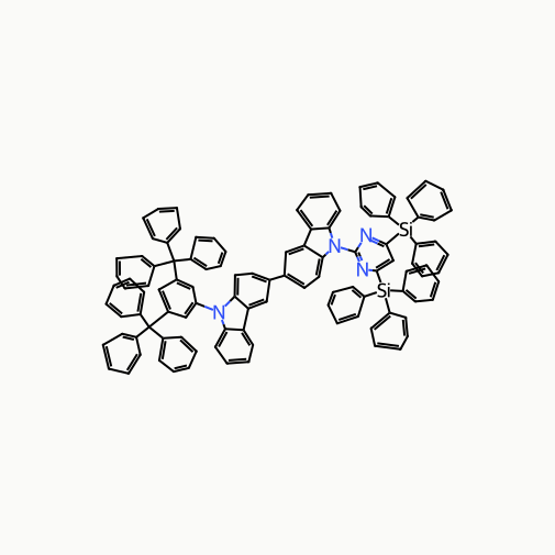 c1ccc(C(c2ccccc2)(c2ccccc2)c2cc(-n3c4ccccc4c4cc(-c5ccc6c(c5)c5ccccc5n6-c5nc([Si](c6ccccc6)(c6ccccc6)c6ccccc6)cc([Si](c6ccccc6)(c6ccccc6)c6ccccc6)n5)ccc43)cc(C(c3ccccc3)(c3ccccc3)c3ccccc3)c2)cc1